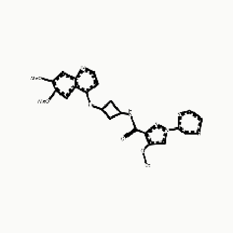 CCOc1cn(-c2cnccn2)nc1C(=O)NC1CC(Oc2ccnc3cc(OC)c(OC)cc23)C1